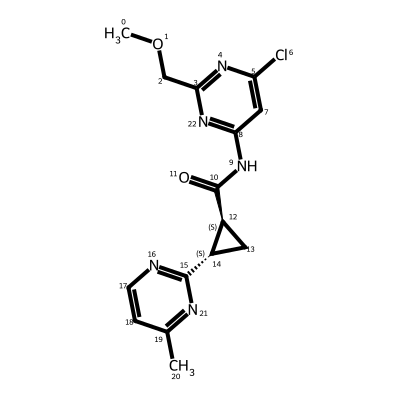 COCc1nc(Cl)cc(NC(=O)[C@H]2C[C@@H]2c2nccc(C)n2)n1